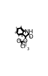 O=C1Nc2ccccc2C1OC(=O)C(F)(F)F